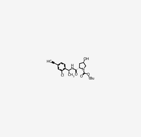 C#Cc1ccc([C@H](C)NC(=O)[C@@H]2C[C@@H](O)CN2C(=O)OC(C)(C)C)c(Cl)c1